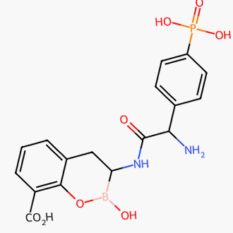 NC(C(=O)NC1Cc2cccc(C(=O)O)c2OB1O)c1ccc(P(=O)(O)O)cc1